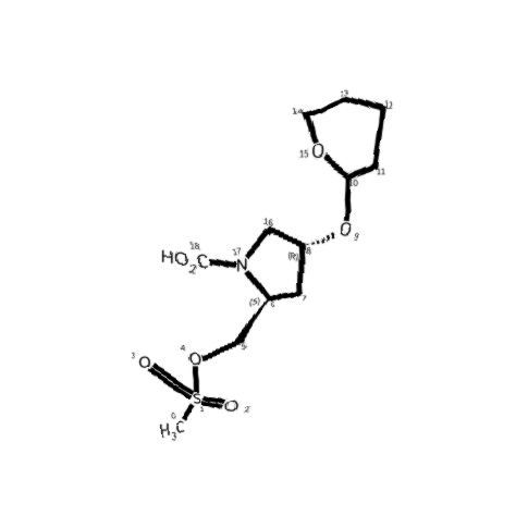 CS(=O)(=O)OC[C@@H]1C[C@@H](OC2CCCCO2)CN1C(=O)O